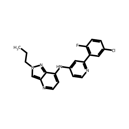 CCCn1cc2nccc(Nc3ccnc(-c4cc(Cl)ccc4F)c3)c2n1